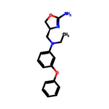 CCN(C[C@H]1COC(N)=N1)c1cccc(Oc2ccccc2)c1